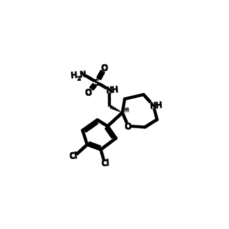 NS(=O)(=O)NC[C@]1(c2ccc(Cl)c(Cl)c2)CCNCCO1